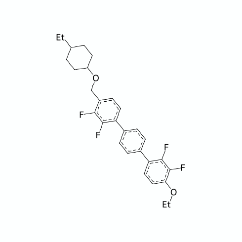 CCOc1ccc(-c2ccc(-c3ccc(COC4CCC(CC)CC4)c(F)c3F)cc2)c(F)c1F